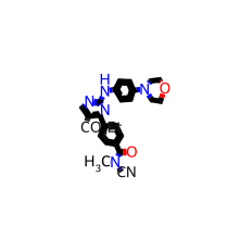 CCOC(=O)c1cnc(Nc2ccc(N3CCOCC3)cc2)nc1-c1ccc(C(=O)N(C)C#N)cc1